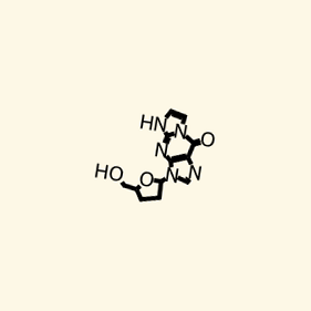 O=c1c2ncn(C3CCC(CO)O3)c2nc2[nH]ccn12